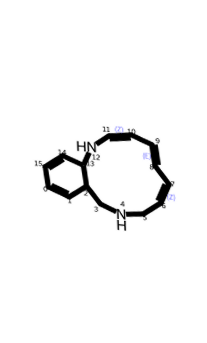 C1=CC2CNC\C=C/C=C/C=C\NC2C=C1